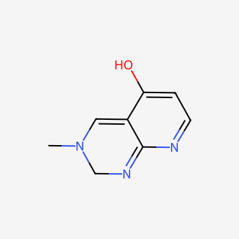 CN1C=c2c(O)ccnc2=NC1